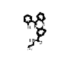 CCc1ccccc1C1=Nc2cc(C(=O)NCCC(C)C)ccc2Sc2ccccc21